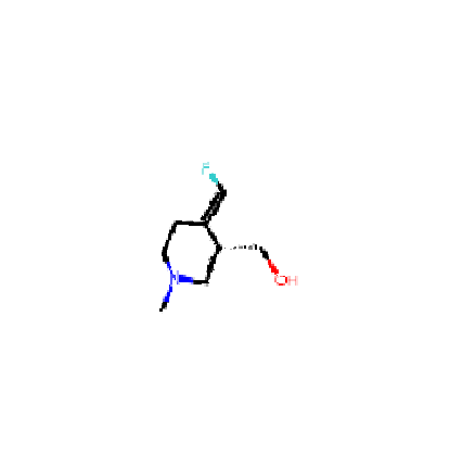 CN1CC/C(=C\F)[C@H](CO)C1